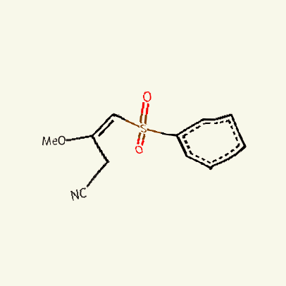 COC(=CS(=O)(=O)c1ccccc1)CC#N